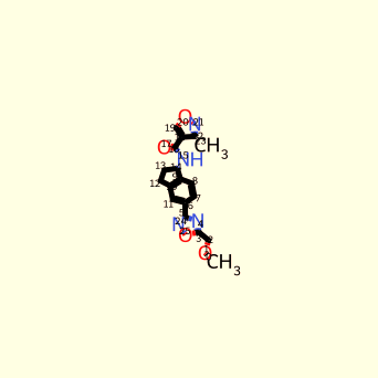 COCc1nc(-c2ccc3c(c2)CCC3NC(=O)c2conc2C)no1